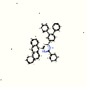 N=C(NC(/C=C/c1c2ccccc2cc2c1ccc1ccccc12)c1ccc(-c2ccccc2)c(-c2ccccc2)c1)c1ccccc1